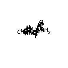 CC(=O)[C@@]12C[C@H]1[C@@](C)(c1cc(Nc3ncnc4cc(Cl)cnc34)cc(F)c1F)N=C(N)S2